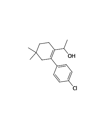 CC(O)C1=C(c2ccc(Cl)cc2)CC(C)(C)CC1